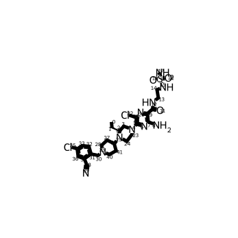 CC[C@H]1CN(c2nc(N)c(C(=O)NCCNS(N)(=O)=O)nc2Cl)CCN1C1CCN(Cc2ccc(Cl)cc2C#N)CC1